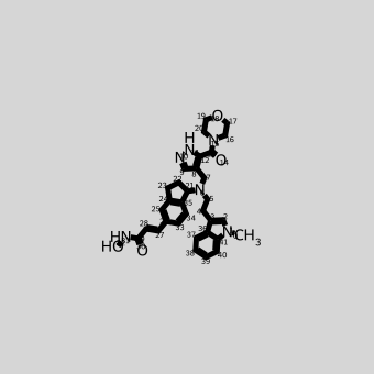 Cn1cc(CCN(Cc2cn[nH]c2C(=O)N2CCOCC2)C2CCc3cc(/C=C/C(=O)NO)ccc32)c2ccccc21